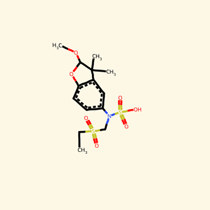 CCS(=O)(=O)CN(c1ccc2c(c1)C(C)(C)C(OC)O2)S(=O)(=O)O